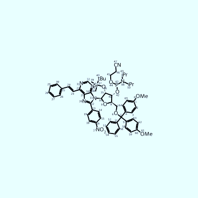 COc1ccc(C(OC[C@H]2O[C@@H](n3c(-c4ccc([N+](=O)[O-])cc4)nc4c(C=Cc5ccccc5)ncnc43)[C@H](O[Si](C)(C)C(C)(C)C)[C@@H]2OP(OCCC#N)N(C(C)C)C(C)C)(c2ccccc2)c2ccc(OC)cc2)cc1